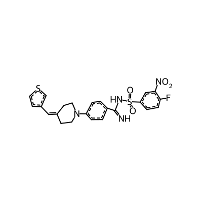 N=C(NS(=O)(=O)c1ccc(F)c([N+](=O)[O-])c1)c1ccc(N2CCC(=Cc3ccsc3)CC2)cc1